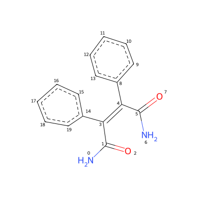 NC(=O)/C(=C(\C(N)=O)c1ccccc1)c1ccccc1